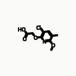 COc1nc(OCC(=O)O)c(Cl)cc1C